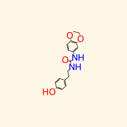 O=C(NCCc1ccc(O)cc1)Nc1ccc2c(c1)OCCO2